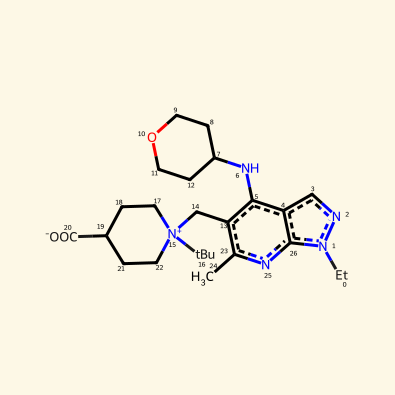 CCn1ncc2c(NC3CCOCC3)c(C[N+]3(C(C)(C)C)CCC(C(=O)[O-])CC3)c(C)nc21